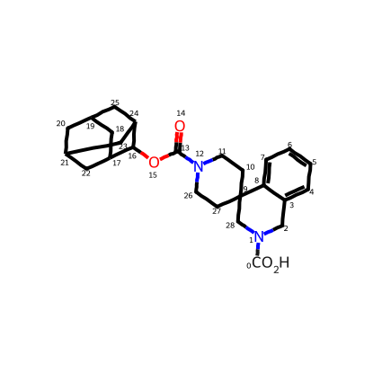 O=C(O)N1Cc2ccccc2C2(CCN(C(=O)OC3C4CC5CC(C4)CC3C5)CC2)C1